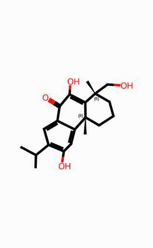 CC(C)c1cc2c(cc1O)[C@@]1(C)CCC[C@@](C)(CO)C1=C(O)C2=O